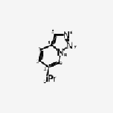 CC(C)c1ccc2cnnn2c1